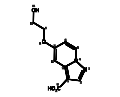 O=C(O)c1cnn2ccc(OCCO)cc12